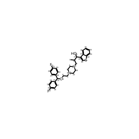 CC(CN1CCN(CCOC(c2ccc(F)cc2)c2ccc(F)cc2)CC1)C(O)c1csc2ccccc12